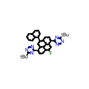 CC(C)(C)c1ncnc(-c2ccc3c(F)cc4c(-c5ncnc(C(C)(C)C)n5)ccc5c(-c6cccc7ccccc67)cc2c3c45)n1